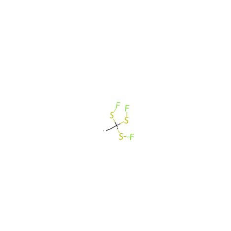 [CH2]C(SF)(SF)SF